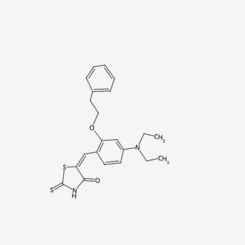 CCN(CC)c1ccc(/C=C2/SC(=S)NC2=O)c(OCCc2ccccc2)c1